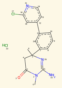 CN1C(=O)CC(C)(c2cccc(-c3ccnc(Cl)c3)c2)N=C1N.Cl